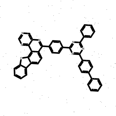 c1ccc(-c2ccc(-c3nc(-c4ccccc4)nc(-c4ccc(-c5nc6cncnc6c6c5ccc5c7ccccc7oc56)cc4)n3)cc2)cc1